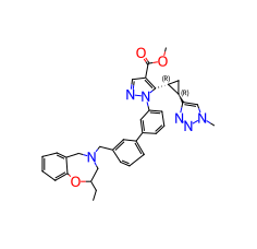 CCC1CN(Cc2cccc(-c3cccc(-n4ncc(C(=O)OC)c4[C@@H]4C[C@H]4c4cn(C)nn4)c3)c2)Cc2ccccc2O1